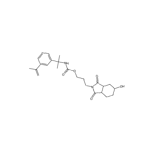 C=C(C)c1cccc(C(C)(C)NC(=O)OCCCN2C(=O)C3CCC(O)CC3C2=O)c1